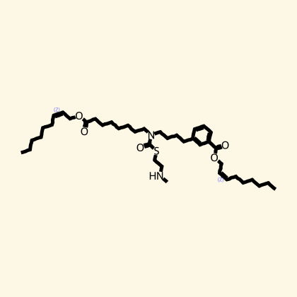 CCCCCC/C=C\COC(=O)CCCCCCCN(CCCCc1cccc(C(=O)OC/C=C\CCCCCC)c1)C(=O)SCCNC